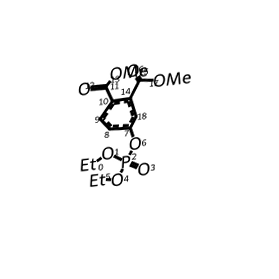 CCOP(=O)(OCC)Oc1ccc(C(=O)OC)c(C(=O)OC)c1